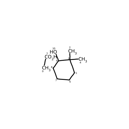 CC(=O)O.CC1(C)CCCCC1O